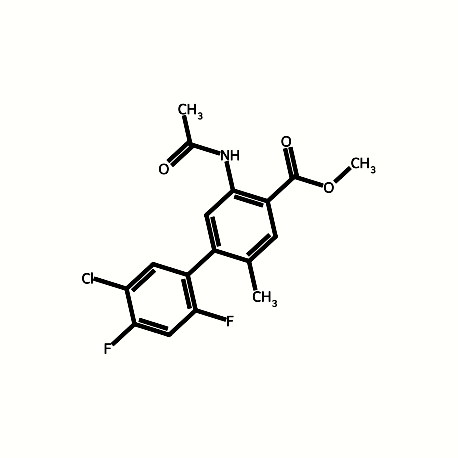 COC(=O)c1cc(C)c(-c2cc(Cl)c(F)cc2F)cc1NC(C)=O